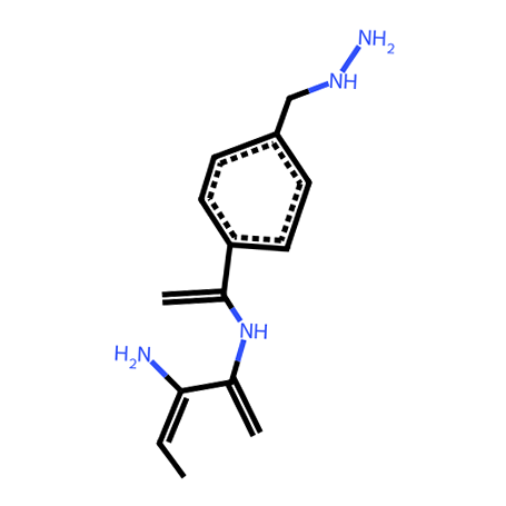 C=C(NC(=C)c1ccc(CNN)cc1)/C(N)=C\C